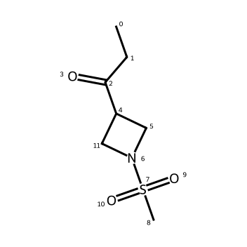 CCC(=O)C1CN(S(C)(=O)=O)C1